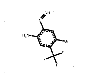 N=Nc1cc(Br)c(C(F)(F)F)cc1N